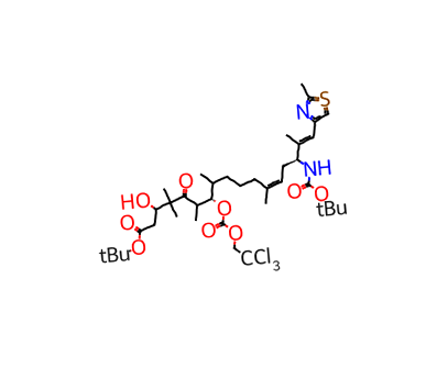 C/C(=C/C[C@H](NC(=O)OC(C)(C)C)/C(C)=C/c1csc(C)n1)CCCC(C)[C@H](OC(=O)OCC(Cl)(Cl)Cl)C(C)C(=O)C(C)(C)C(O)CC(=O)OC(C)(C)C